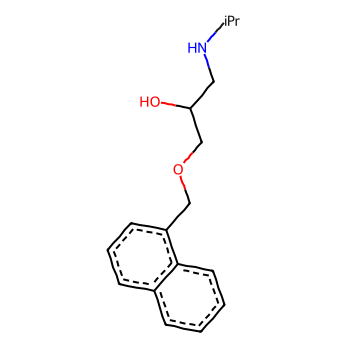 CC(C)NCC(O)COCc1cccc2ccccc12